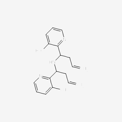 C=CCC(NC(CC=C)c1ncccc1C)c1ncccc1C